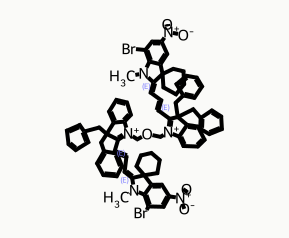 CN1/C(=C/C=C/C2=[N+](COC[N+]3=C(/C=C/C=C4/N(C)c5c(Br)cc([N+](=O)[O-])cc5C45CCCCC5)C(Cc4ccccc4)(Cc4ccccc4)c4ccccc43)c3ccccc3C2(Cc2ccccc2)Cc2ccccc2)C2(CCCCC2)c2cc([N+](=O)[O-])cc(Br)c21